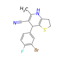 CC1=C(C#N)C(c2ccc(F)c(Br)c2)C2=C(CCS2)N1